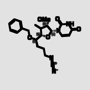 CO[C@H]1C(C)[C@@H]([C@@H](CCCN=[N+]=[N-])OCc2ccccc2)O[C@H]1n1ccc(=O)[nH]c1=O